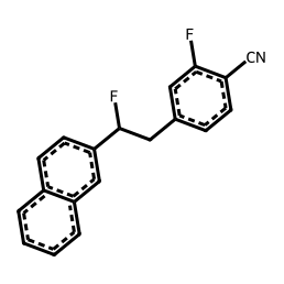 N#Cc1ccc(CC(F)c2ccc3ccccc3c2)cc1F